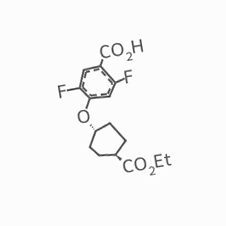 CCOC(=O)[C@H]1CC[C@H](Oc2cc(F)c(C(=O)O)cc2F)CC1